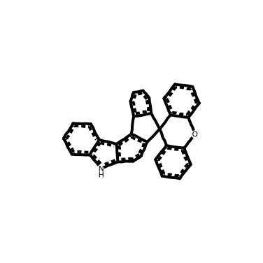 c1ccc2c(c1)Oc1ccccc1C21c2ccccc2-c2c1ccc1[nH]c3ccccc3c21